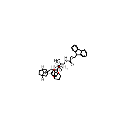 NC(=O)c1cccc([C@H]2C[C@H]3CC[C@@H](C2)N3CCC(NC(=O)C(O)CNC(=O)OCC2c3ccccc3-c3ccccc32)C2CCCCC2)c1